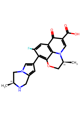 C[C@H]1Cn2cc(-c3c(F)cc4c(=O)c(C(=O)O)cn5c4c3OC[C@@H]5C)cc2CN1